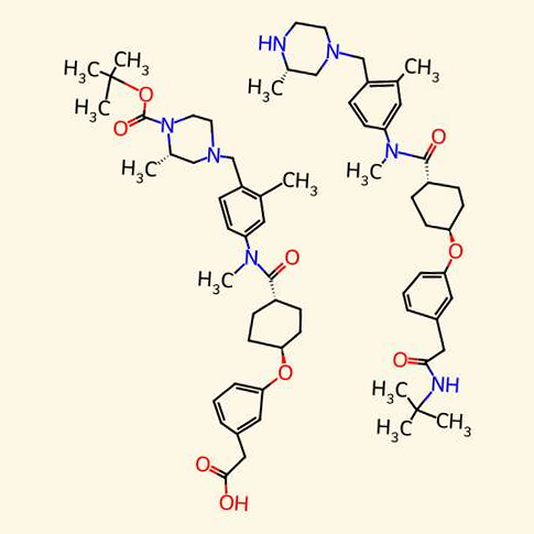 Cc1cc(N(C)C(=O)[C@H]2CC[C@H](Oc3cccc(CC(=O)NC(C)(C)C)c3)CC2)ccc1CN1CCN[C@@H](C)C1.Cc1cc(N(C)C(=O)[C@H]2CC[C@H](Oc3cccc(CC(=O)O)c3)CC2)ccc1CN1CCN(C(=O)OC(C)(C)C)[C@@H](C)C1